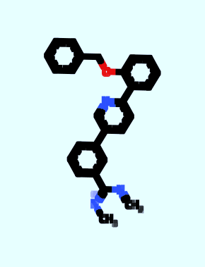 C=N/C(=N\C)c1cccc(-c2ccc(-c3ccccc3OCc3ccccc3)nc2)c1